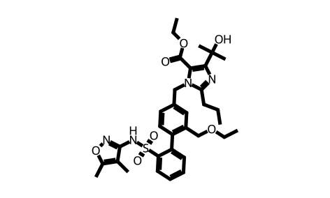 CCCc1nc(C(C)(C)O)c(C(=O)OCC)n1Cc1ccc(-c2ccccc2S(=O)(=O)Nc2noc(C)c2C)c(COCC)c1